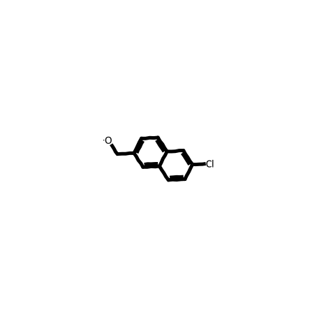 [O]Cc1ccc2cc(Cl)ccc2c1